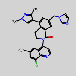 Cc1cc(Cl)c2nccc(N3CCc4c(cc(Cn5ccnc5)cc4-c4cn(C)nc4C(F)(F)F)C3=O)c2c1